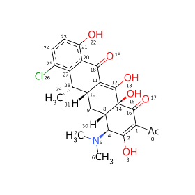 CC(=O)C1=C(O)[C@@H](N(C)C)[C@@H]2C[C@H]3C(=C(O)[C@]2(O)C1=O)C(=O)c1c(O)ccc(Cl)c1[C@H]3C